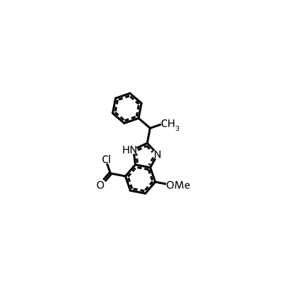 COc1ccc(C(=O)Cl)c2[nH]c(C(C)c3ccccc3)nc12